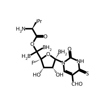 BC(B)(OC(=O)[C@@H](N)C(C)C)[C@@]1(F)O[C@@](B)(n2cc(C=O)c(=S)[nH]c2=O)[C@H](O)[C@@H]1O